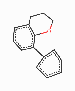 c1ccc(-c2cccc3c2OCCC3)cc1